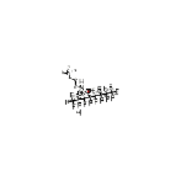 C[N+](C)(C)CCCNS(=O)(=O)C(F)(C(F)(F)C(F)(F)F)C(F)(F)C(F)(F)C(F)(F)C(F)(F)C(F)(F)F.[I-]